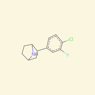 Fc1cc(C2CC3CCC2N3)ccc1Cl